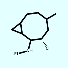 CCNC1C2CC2CCC(C)C[C@@H]1Cl